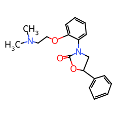 CN(C)CCOc1ccccc1N1CC(c2ccccc2)OC1=O